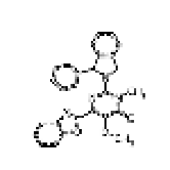 COc1c(-c2nc3ccccc3o2)nc(N2Cc3ccccc3C2c2ccccc2)n(C)c1=O